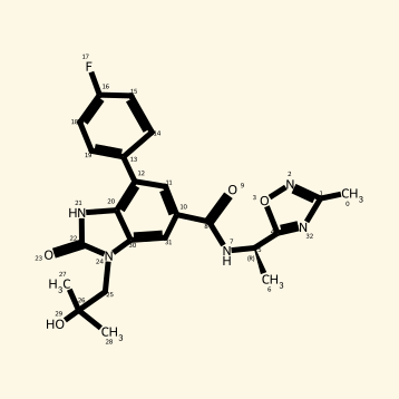 Cc1noc([C@@H](C)NC(=O)c2cc(-c3ccc(F)cc3)c3[nH]c(=O)n(CC(C)(C)O)c3c2)n1